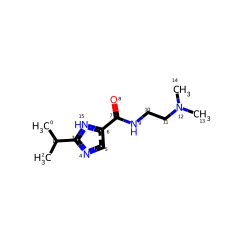 CC(C)c1ncc(C(=O)NCCN(C)C)[nH]1